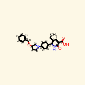 CCc1cc(C(=O)O)c(=O)[nH]c1-c1ccc(N2CCC(OCc3ccccc3)C2)cc1